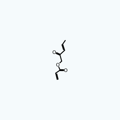 C=CC(=O)OCC(=O)C=CC